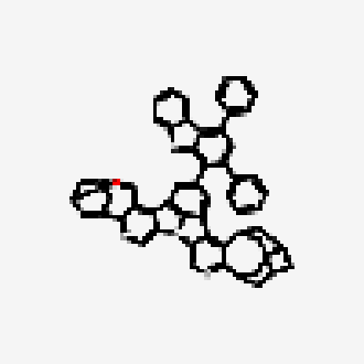 c1ccc(-c2cc(-c3ccccc3)c3c(oc4ccccc43)c2-c2cc3c4c5c(ncc4n4c6cnc7c(c6c(c2)c34)C2CC3CC4CC7CC43C2)C2CC3CC(C2)CC5C3)cc1